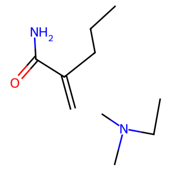 C=C(CCC)C(N)=O.CCN(C)C